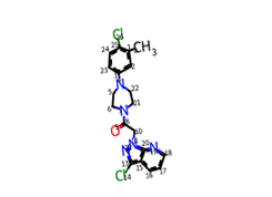 Cc1cc(N2CCN(C(=O)Cn3nc(Cl)c4cccnc43)CC2)ccc1Cl